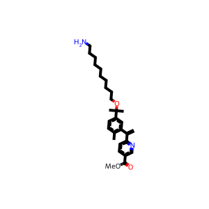 C=C(c1ccc(C(=O)OC)cn1)c1cc(C(C)(C)OCCCCCCCCCCN)ccc1C